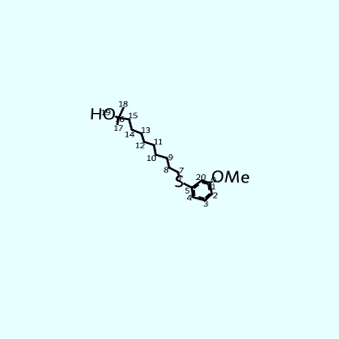 COc1cccc(SCCCCCCCCCC(C)(C)O)c1